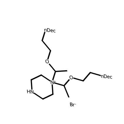 CCCCCCCCCCCCOC(C)[N+]1(C(C)OCCCCCCCCCCCC)CCNCC1.[Br-]